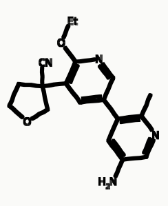 CCOc1ncc(-c2cc(N)cnc2C)cc1C1(C#N)CCOC1